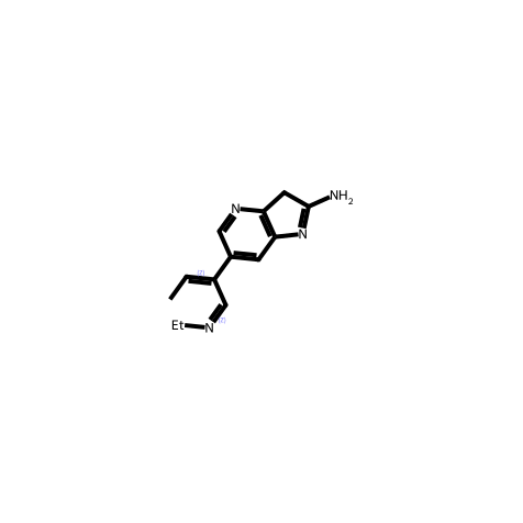 C/C=C(\C=N/CC)c1cnc2c(c1)N=C(N)C2